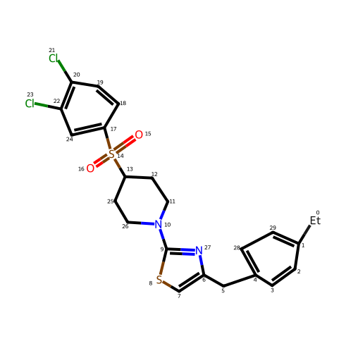 CCc1ccc(Cc2csc(N3CCC(S(=O)(=O)c4ccc(Cl)c(Cl)c4)CC3)n2)cc1